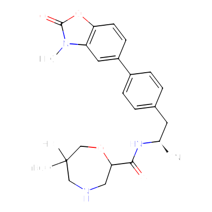 CC(C)COC1(C)CNCC(C(=O)N[C@H](C#N)Cc2ccc(-c3ccc4oc(=O)n(C)c4c3)cc2)OC1